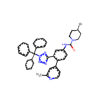 Cc1cc(-c2ccc(NC(=O)N3CCC(C(C)(C)C)CC3)cc2-c2nnn(C(c3ccccc3)(c3ccccc3)c3ccccc3)n2)ccn1